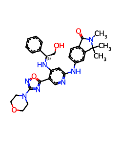 CN1C(=O)c2ccc(Nc3cc(N[C@H](CO)c4ccccc4)c(-c4nc(N5CCOCC5)no4)cn3)cc2C1(C)C